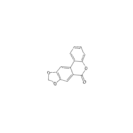 O=c1oc2ccccc2c2cc3c(cc12)OCO3